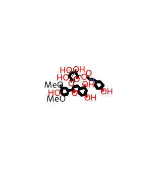 COc1cc(-c2[o+]c3cc(O)cc(O)c3cc2O[C@H]2O[C@@H](COC(=O)/C=C/c3ccc(O)cc3)[C@H](O)[C@@H](O)[C@@H]2O)cc(OC)c1O